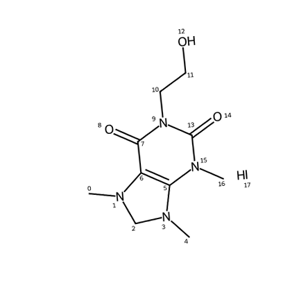 CN1CN(C)c2c1c(=O)n(CCO)c(=O)n2C.I